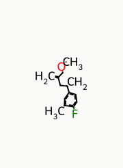 C=C(COC)CC(=C)c1ccc(F)c(C)c1